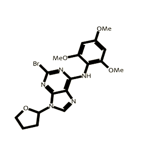 COc1cc(OC)c(Nc2nc(Br)nc3c2ncn3C2CCCO2)c(OC)c1